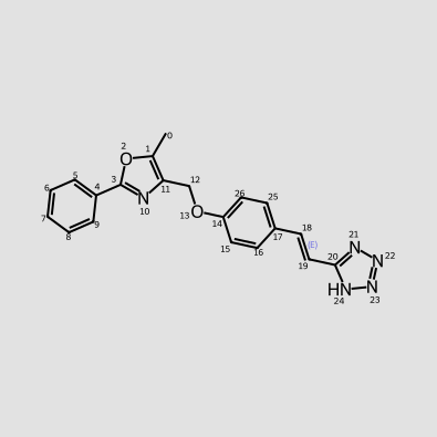 Cc1oc(-c2ccccc2)nc1COc1ccc(/C=C/c2nnn[nH]2)cc1